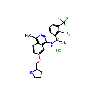 Cc1c([C@@H](C)Nc2nnc(C)c3ccc(OCC4CCCN4)cc23)cccc1C(F)(F)F.Cl